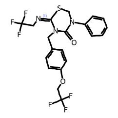 O=C1N(Cc2ccc(OCC(F)(F)F)cc2)/C(=N\CC(F)(F)F)SCN1c1ccccc1